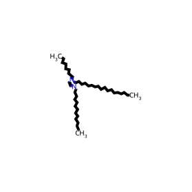 CCCCCCCCCCCCCCCCCC1N(CCCCCCCC)C=CN1CCCCCCCCCCCCCC